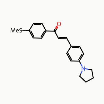 CSc1ccc(C(=O)/C=C/c2ccc(N3CCCC3)cc2)cc1